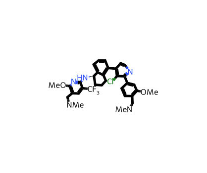 CNCc1ccc(-c2nccc(-c3cccc4c3CCC[C@@H]4Nc3nc(OC)c(CNC)cc3C(F)(F)F)c2Cl)cc1OC